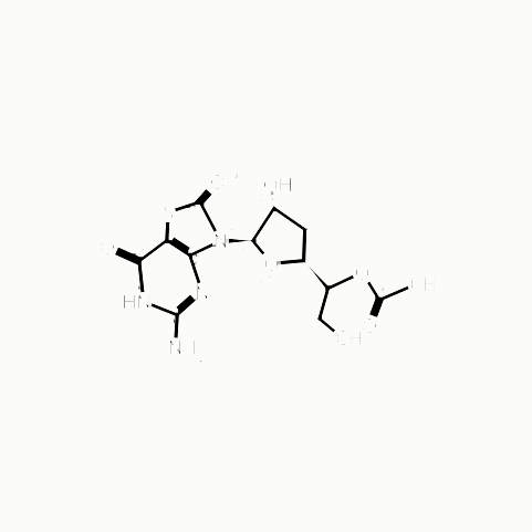 CCC(OC(C)=O)[C@@H]1C[C@@H](O)[C@H](n2c(=O)sc3c(=O)[nH]c(N)nc32)O1